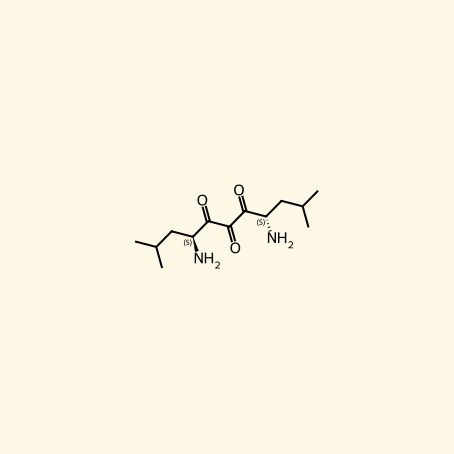 CC(C)C[C@H](N)C(=O)C(=O)C(=O)[C@@H](N)CC(C)C